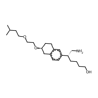 CC(C)CCOCCO[C@H]1CCc2cc([C@H](CN)CCCCO)ccc2C1